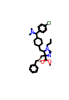 CCCN1C=NC(CSCc2ccccc2)(C(=O)OC)C1CC1CCC(C(c2ccc(Cl)cc2)N(C)C)CC1